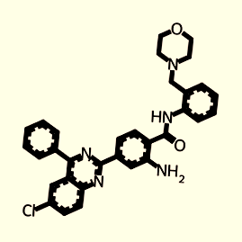 Nc1cc(-c2nc(-c3ccccc3)c3cc(Cl)ccc3n2)ccc1C(=O)Nc1ccccc1CN1CCOCC1